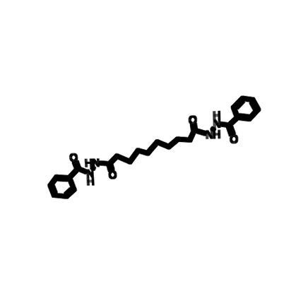 O=C(CCCCCCCCC(=O)NNC(=O)c1ccccc1)NNC(=O)c1ccccc1